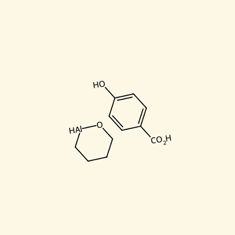 C1C[CH2][AlH][O]C1.O=C(O)c1ccc(O)cc1